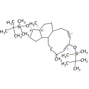 C=C1/C=C(O[Si](C)(C)C(C)(C)C)\C=C/CC2CC[C@@]3(C)C(CC[C@@H]3O[Si](C)(C)C(C)(C)C)C2CC1